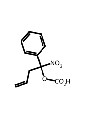 C=CCC(OC(=O)O)(c1ccccc1)[N+](=O)[O-]